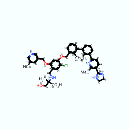 COc1nc(-c2cccc(-c3cccc(COc4cc(OCc5cncc(C#N)c5)c(CNC(C)(CO)C(=O)O)cc4Cl)c3C)c2C)ccc1C1=NCCN1